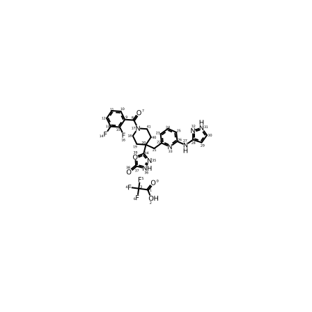 O=C(O)C(F)(F)F.O=C(c1cccc(F)c1F)N1CCC(Cc2cccc(Nc3cc[nH]n3)n2)(c2n[nH]c(=O)o2)CC1